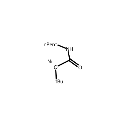 CCCCCNC(=O)OC(C)(C)C.[N]